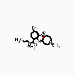 CCCN(C)C(=O)C1=C(NC2CCCCN(C)CC2)C([N+](=O)[O-])=CC(Br)CC1